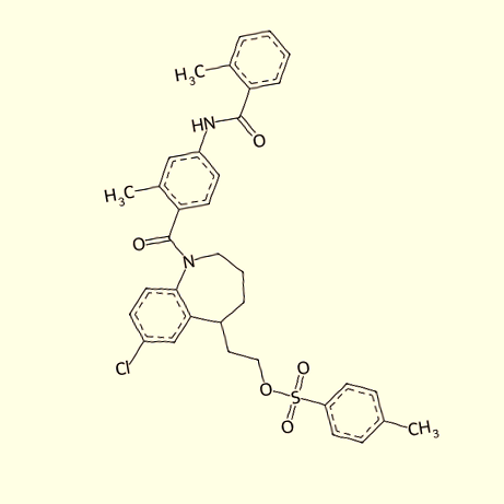 Cc1ccc(S(=O)(=O)OCCC2CCCN(C(=O)c3ccc(NC(=O)c4ccccc4C)cc3C)c3ccc(Cl)cc32)cc1